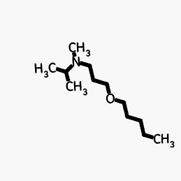 CCCCCOCCCN(C)C(C)C